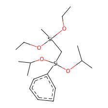 CCO[Si](C)(C[Si](OC(C)C)(OC(C)C)c1ccccc1)OCC